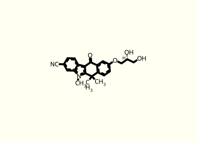 Cn1c2c(c3ccc(C#N)cc31)C(=O)c1cc(OC[C@H](O)CO)ccc1C2(C)C